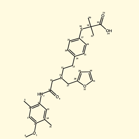 COc1cc(C)c(NC(=O)CN(CCc2ccc(SC(C)(C)C(=O)O)cc2)Cc2ccco2)cc1C